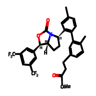 COC(=O)CCc1ccc(C)c(-c2ccc(C)cc2[C@@H]2CC[C@H]3[C@@H](c4cc(C(F)(F)F)cc(C(F)(F)F)c4)OC(=O)N23)c1